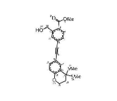 COC(=O)c1ccc(C#Cc2ccc3c(c2)C(SC)(SC)CCO3)cc1CO